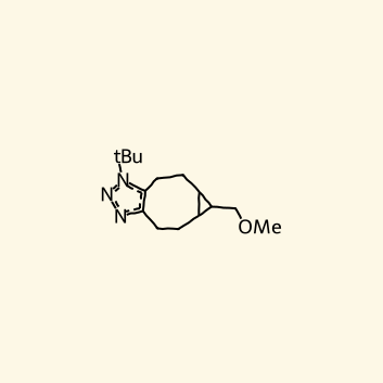 COCC1C2CCc3nnn(C(C)(C)C)c3CCC21